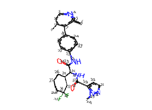 Cc1ccnc(C)c1-c1ccc(NC(=O)C(NC(=O)c2ccnn2C)C2CCCC(F)(F)C2)cc1